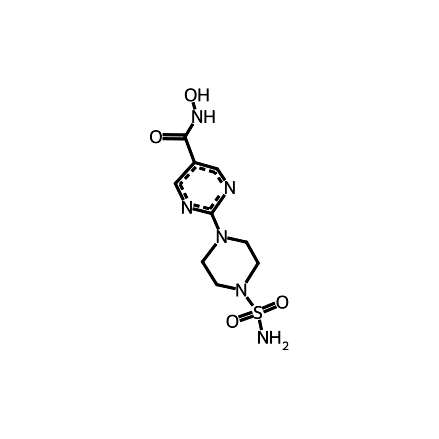 NS(=O)(=O)N1CCN(c2ncc(C(=O)NO)cn2)CC1